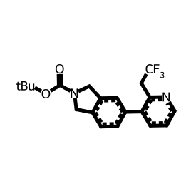 CC(C)(C)OC(=O)N1Cc2ccc(-c3cccnc3CC(F)(F)F)cc2C1